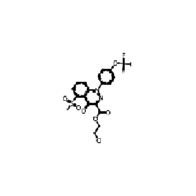 CS(=O)(=O)c1cccc2c1c(=O)c(C(=O)OCCCl)nn2-c1ccc(OC(F)(F)F)cc1